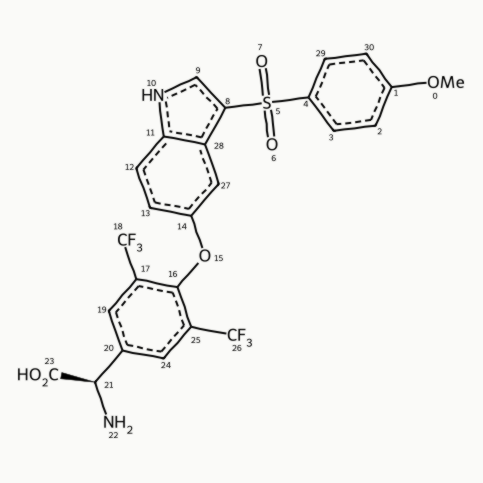 COc1ccc(S(=O)(=O)c2c[nH]c3ccc(Oc4c(C(F)(F)F)cc([C@@H](N)C(=O)O)cc4C(F)(F)F)cc23)cc1